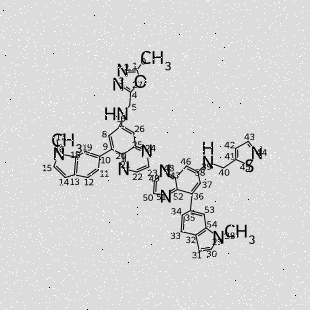 Cc1nnc(CNc2cc(-c3ccc4ccn(C)c4c3)c3nccnc3c2)o1.Cn1ccc2ccc(-c3cc(NCc4ccns4)cc4nccnc34)cc21